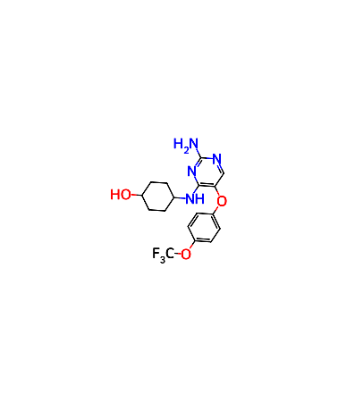 Nc1ncc(Oc2ccc(OC(F)(F)F)cc2)c(NC2CCC(O)CC2)n1